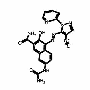 [C-]#[N+]c1cnn(-c2ccccn2)c1/N=N/c1c(O)c(C(N)=O)cc2cc(NC(N)=O)ccc12